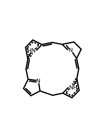 C1=CC2Cc3ccc([nH]3)/C=C3/CCC(=N3)/C=c3/cc/c([nH]3)=C/C1=N2